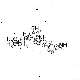 C1CN1.CC(C)C[C@H](NC(=O)OCc1ccccc1)C(=O)CCOCC[N+](C)(C)C